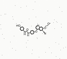 COCCOc1cc2nccc(Oc3ccc(NC(=O)Nc4ccc(O)cc4)cc3)c2cc1C#N